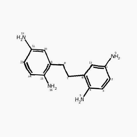 Nc1ccc(N)c(CCc2cc(N)ccc2N)c1